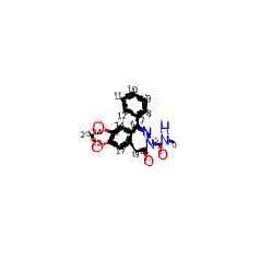 CNC(=O)N1N=C(c2ccccc2)c2cc3c(cc2CC1=O)OCO3